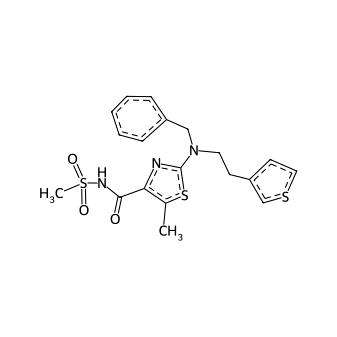 Cc1sc(N(CCc2ccsc2)Cc2ccccc2)nc1C(=O)NS(C)(=O)=O